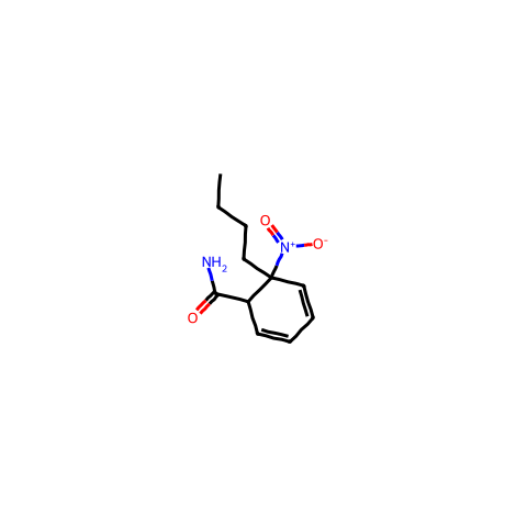 CCCCC1([N+](=O)[O-])C=CC=CC1C(N)=O